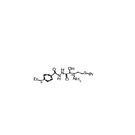 CCSc1ccc(C(=O)NNC(=O)C(O)[C@H](N)CCSC(C)C)cc1